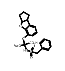 COC(NS(=O)(=O)Cc1ccccc1)(Oc1cccc2c1OC1CCCC21)C(=O)O